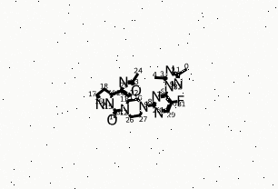 Cc1nc(C)n(-c2nc(N3CCN(C(=O)N4N=CCC4c4coc(C)n4)CC3)ncc2F)n1